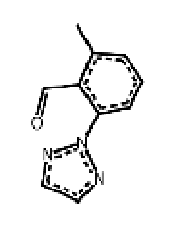 Cc1cccc(-n2nccn2)c1C=O